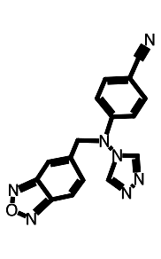 N#Cc1ccc(N(Cc2ccc3nonc3c2)n2cnnc2)cc1